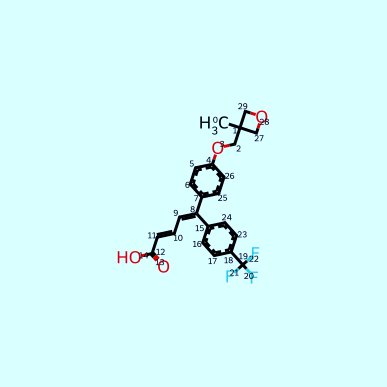 CC1(COc2ccc(C(=CC=CC(=O)O)c3ccc(C(F)(F)F)cc3)cc2)COC1